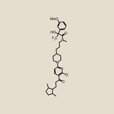 COc1cccc(C(O)(C(=O)N(C)CCCC2CCN(c3ccc(C(=O)CCC4C(C)CCC4C)c(Cl)n3)CC2)C(F)(F)F)c1